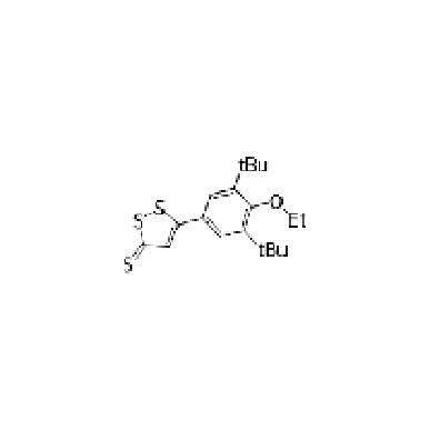 CCOc1c(C(C)(C)C)cc(-c2cc(=S)ss2)cc1C(C)(C)C